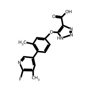 Cc1cc(Oc2[nH]nnc2C(=O)O)ccc1-c1cnc(F)c(C)c1